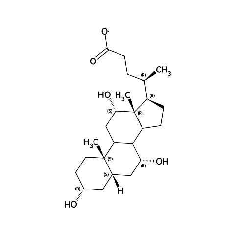 C[C@H](CCC([O])=O)[C@H]1CCC2C3C(C[C@H](O)[C@@]21C)[C@@]1(C)CC[C@@H](O)C[C@H]1C[C@H]3O